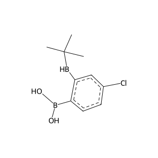 CC(C)(C)Bc1cc(Cl)ccc1B(O)O